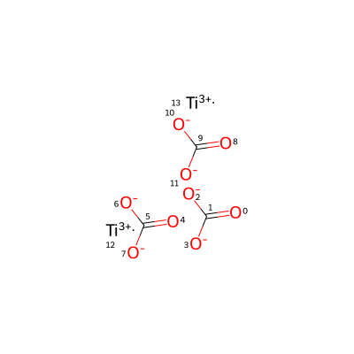 O=C([O-])[O-].O=C([O-])[O-].O=C([O-])[O-].[Ti+3].[Ti+3]